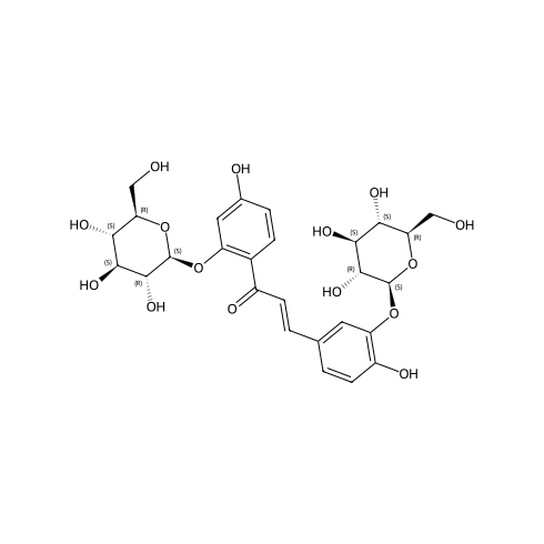 O=C(C=Cc1ccc(O)c(O[C@@H]2O[C@H](CO)[C@@H](O)[C@H](O)[C@H]2O)c1)c1ccc(O)cc1O[C@@H]1O[C@H](CO)[C@@H](O)[C@H](O)[C@H]1O